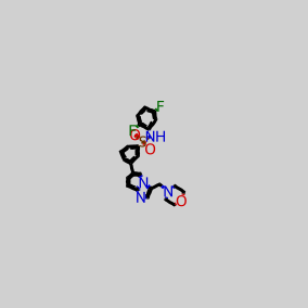 O=S(=O)(Nc1cc(F)ccc1F)c1cccc(-c2ccc3ncc(CN4CCOCC4)n3c2)c1